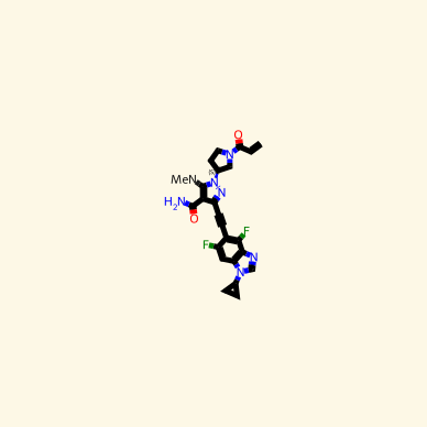 C=CC(=O)N1CC[C@H](n2nc(C#Cc3c(F)cc4c(ncn4C4CC4)c3F)c(C(N)=O)c2NC)C1